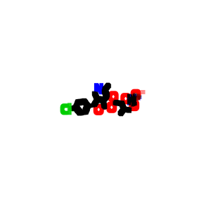 Cc1ncc2c(c1OC(=O)[C@H](O[N+](=O)[O-])C(C)C)CO[C@H]2c1ccc(Cl)cc1